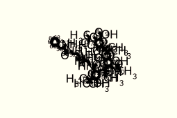 CCC(C)OC1C(C(=O)O)OC(C(C)(CC)C(C)(CC)OC2C(CO)OC(C(O)(CC)OC3CC(O)C(C(C)(O)CC)OC3C(=O)NCc3cn(CCNC(=O)C(N)Cc4ccccc4)nn3)C(NC(C)=O)C2O)C(O)C1O